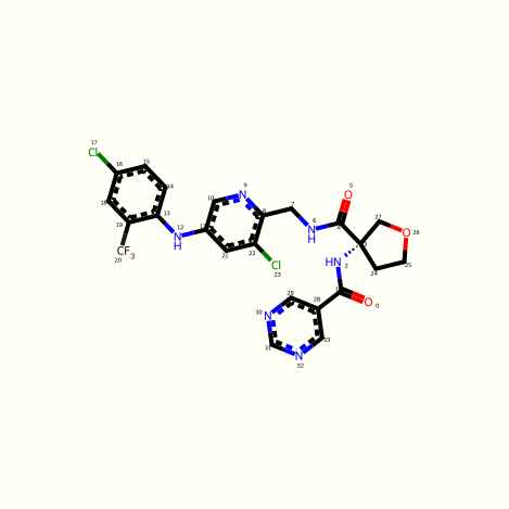 O=C(N[C@@]1(C(=O)NCc2ncc(Nc3ccc(Cl)cc3C(F)(F)F)cc2Cl)CCOC1)c1cncnc1